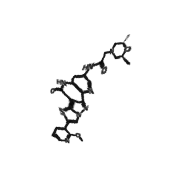 COc1ncccc1-c1cn2nc3c4ncc(NC(=O)CN5C[C@H](C)O[C@@H](C)C5)cc4[nH]c(=O)c3c2s1